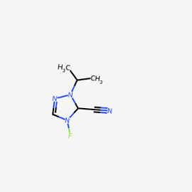 CC(C)N1N=CN(F)C1C#N